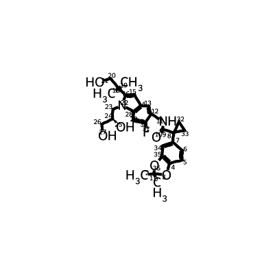 CC1(C)Oc2ccc(C3(C(=O)Nc4cc5cc(C(C)(C)CO)n(C[C@@H](O)CO)c5cc4F)CC3)cc2O1